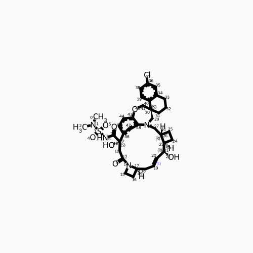 CN(C)S(=O)(=O)NC(=O)[C@]1(O)CC(=O)N2CC[C@@H]2C/C=C/[C@H](O)[C@@H]2CC[C@H]2CN2C[C@@]3(CCCc4cc(Cl)ccc43)COc3ccc1cc32